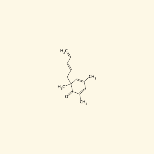 C=C/C=C/CC1(C)C=C(C)C=C(C)C1=O